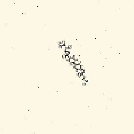 CCCCC(=O)Oc1ccc(-c2ccc(C(=O)OCC(Cl)C(C)CC)cc2)cc1